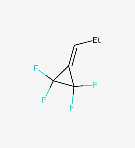 CCC=C1C(F)(F)C1(F)F